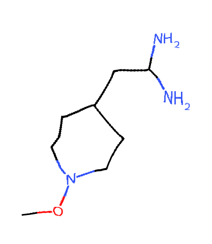 CON1CCC(CC(N)N)CC1